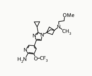 COCCN(C)C12CC(n3cc(-c4cnc(N)c(OC(F)(F)F)c4)nc3C3CC3)(C1)C2